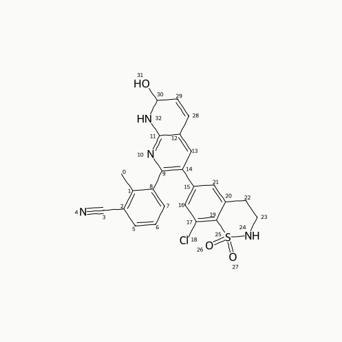 Cc1c(C#N)cccc1-c1nc2c(cc1-c1cc(Cl)c3c(c1)CCNS3(=O)=O)C=CC(O)N2